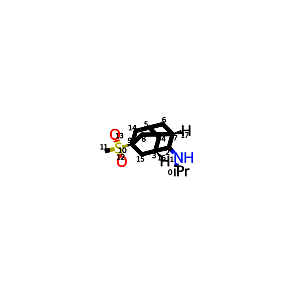 CC(C)NC1[C@@H]2CC3C[C@H]1C[C@@](S(C)(=O)=O)(C3)C2